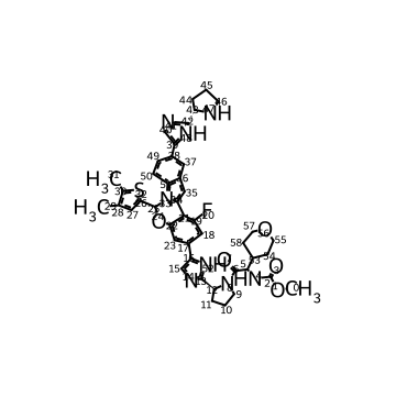 COC(=O)NC(C(=O)N1CCC[C@H]1c1ncc(-c2cc(F)c3c(c2)OC(c2cc(C)c(C)s2)n2c-3cc3cc(-c4cnc([C@@H]5CCCN5)[nH]4)ccc32)[nH]1)C1CCOCC1